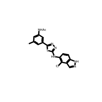 [CH2]c1cc(NC(C)=O)cc(-c2nnc(Nc3ccc4[nH]ncc4c3Cl)s2)c1